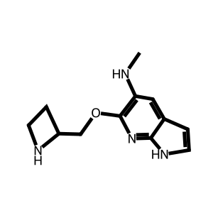 CNc1cc2cc[nH]c2nc1OCC1CCN1